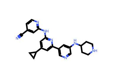 N#Cc1ccnc(Nc2cc(C3CC3)cc(-c3cncc(NC4CCNCC4)c3)n2)c1